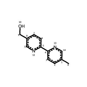 Cc1ccc(-c2ccc(CO)cn2)nc1